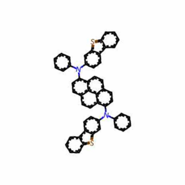 c1ccc(N(c2ccc3c(c2)sc2ccccc23)c2ccc3ccc4c(N(c5ccccc5)c5ccc6c(c5)sc5ccccc56)ccc5ccc2c3c54)cc1